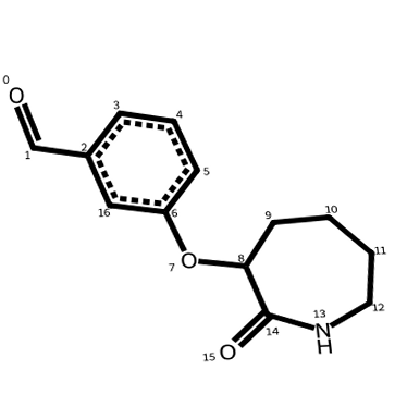 O=Cc1cccc(OC2CCCCNC2=O)c1